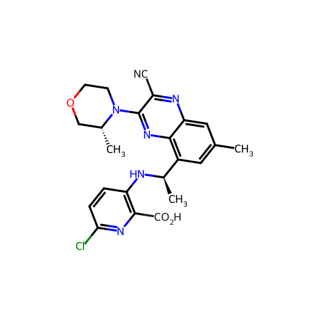 Cc1cc([C@@H](C)Nc2ccc(Cl)nc2C(=O)O)c2nc(N3CCOC[C@H]3C)c(C#N)nc2c1